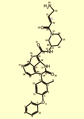 Cc1cc(Oc2ccccc2)ccc1N1C(=O)Nc2c(C(=O)N[C@@H]3CCCN(C(=O)/C=C/CN)C3)sc3nccc1c23